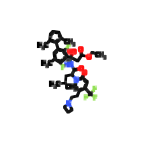 CCOC(=O)C[C@](O)(NC(=O)C(CC(C)C)n1cc(CCN2CCC2)c(C(F)(F)F)cc1=O)c1c(F)c(C)cc(-c2c(C)cccc2C)c1F